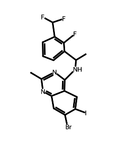 Cc1nc(NC(C)c2cccc(C(F)F)c2F)c2cc(I)c(Br)cc2n1